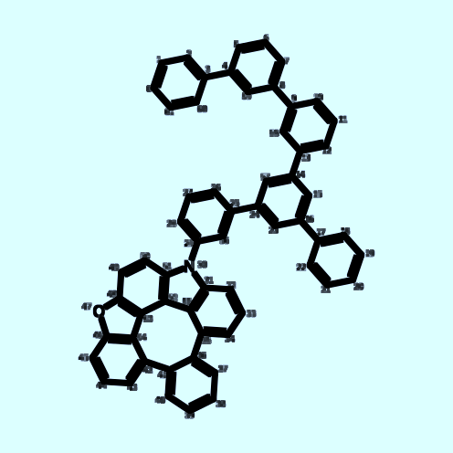 c1ccc(-c2cccc(-c3cccc(-c4cc(-c5ccccc5)cc(-c5cccc(-n6c7cccc8c9ccccc9c9cccc%10oc%11ccc6c(c%11c%109)c87)c5)c4)c3)c2)cc1